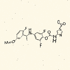 COc1ccc(F)c(C(C)Nc2cc(F)c(OC(=O)NC3=CS(=S(=O)=O)C=N3)c(F)c2)c1